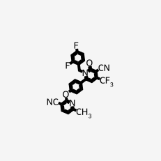 Cc1ccc(C#N)c(Oc2ccc(-c3cc(C(F)(F)F)c(C#N)c(=O)n3Cc3ccc(F)cc3F)cc2)n1